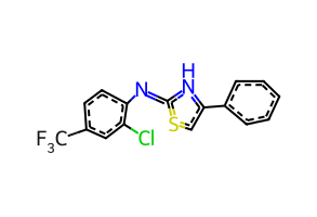 FC(F)(F)c1ccc(N=c2[nH]c(-c3ccccc3)cs2)c(Cl)c1